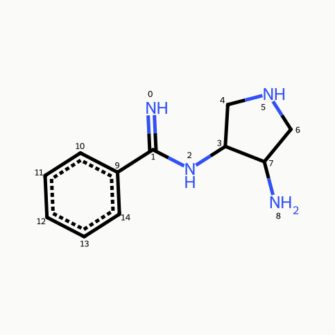 N=C(NC1CNCC1N)c1ccccc1